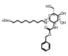 CCCCCCCCCCCCCCCCCCN[C@@H]1O[C@H](CO)[C@@H](O)[C@H](O)[C@H]1NC(=O)OCc1ccccc1